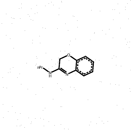 CCCNC1=Nc2ccccc2OC1